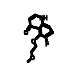 COCCOc1c(F)ccc2[nH]ccc(=O)c12